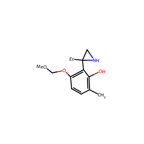 CCC1(c2c(OCOC)ccc(C)c2O)CN1